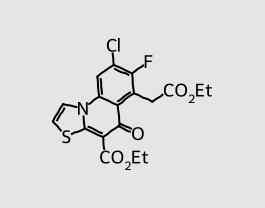 CCOC(=O)Cc1c(F)c(Cl)cc2c1c(=O)c(C(=O)OCC)c1sccn12